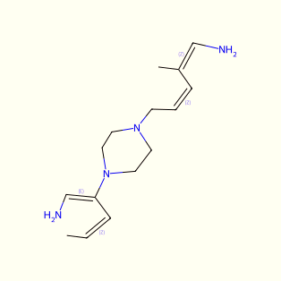 C/C=C\C(=C/N)N1CCN(C/C=C\C(C)=C/N)CC1